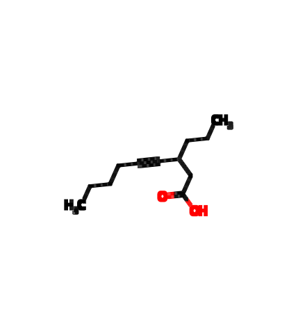 CCCCC#CC(CCC)CC(=O)O